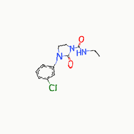 CCNC(=O)N1CCN(c2cccc(Cl)c2)C1=O